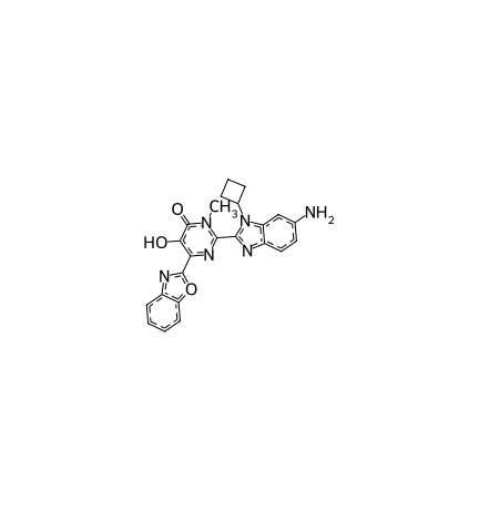 Cn1c(-c2nc3ccc(N)cc3n2C2CCC2)nc(-c2nc3ccccc3o2)c(O)c1=O